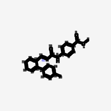 COC(=O)c1ccc(NC(=O)/C=C/c2ccccc2-c2ccc(C)cc2)cc1